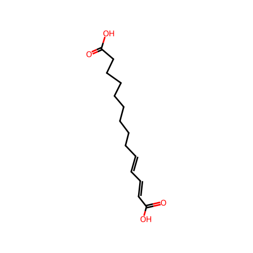 O=C(O)/C=C/C=C/CCCCCCCCC(=O)O